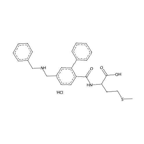 CSCCC(NC(=O)c1ccc(CNCc2ccccc2)cc1-c1ccccc1)C(=O)O.Cl